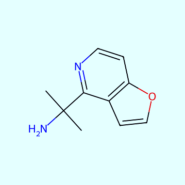 CC(C)(N)c1nccc2occc12